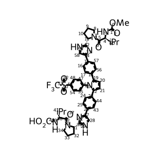 COC(=O)N[C@H](C(=O)N1CCC[C@H]1c1nc(-c2ccc(-c3ccc(-c4ccc(-c5c[nH]c([C@@H]6CCCN6C(=O)[C@@H](NC(=O)O)C(C)C)n5)cc4)n3-c3ccc(S(=O)(=O)C(F)(F)F)cc3)cc2)c[nH]1)C(C)C